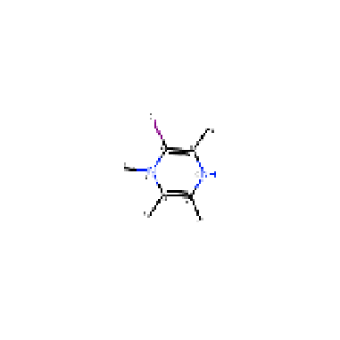 CC1=C(C)N(C)C(I)=C(C)N1